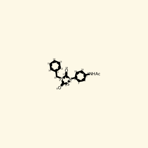 CC(=O)Nc1ccc(-n2sc(=O)n(Cc3ccccc3)c2=O)cc1